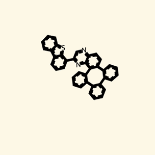 c1ccc2c(c1)-c1ccccc1-c1ccc3ncc(-c4cccc5c4sc4ccccc45)nc3c1-c1ccccc1-2